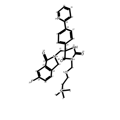 C[Si](C)(C)CCOCN1C(=O)N[C@@](CN2Cc3ccc(F)cc3C2=O)(c2ccc(-c3ccccn3)cc2)C1=O